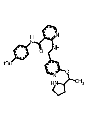 CC(Oc1cc(CNc2ncccc2C(=O)Nc2ccc(C(C)(C)C)cc2)ccn1)C1CCCN1